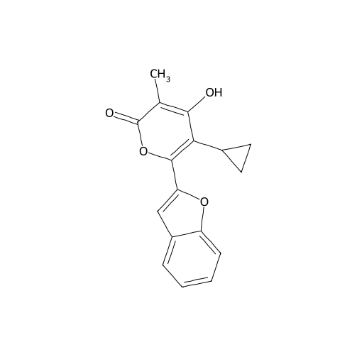 Cc1c(O)c(C2CC2)c(-c2cc3ccccc3o2)oc1=O